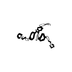 CC(C)Oc1ccc2c(N(C)c3ccc(OCCN4CCCC4)cc3)c(-c3ccc(OCCN4CCCC4)cc3)sc2c1